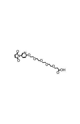 O=C(O)CCOCCOCCOCCOCCOc1ccc(N2C(=O)C=CC2=O)cn1